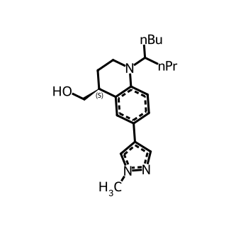 CCCCC(CCC)N1CC[C@H](CO)c2cc(-c3cnn(C)c3)ccc21